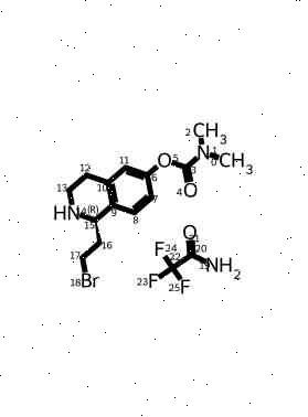 CN(C)C(=O)Oc1ccc2c(c1)CCN[C@@H]2CCBr.NC(=O)C(F)(F)F